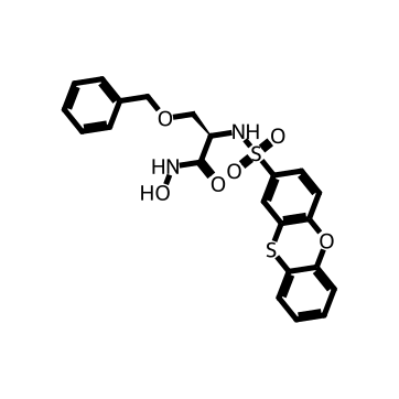 O=C(NO)[C@@H](COCc1ccccc1)NS(=O)(=O)c1ccc2c(c1)Sc1ccccc1O2